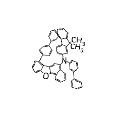 CC1(C)c2ccccc2-c2ccc(N(c3cccc(-c4ccccc4)c3)c3cc4c(oc5cccc(-c6ccc(-c7ccccc7)cc6)c54)c4ccccc34)cc21